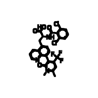 Cc1cc(C(F)(F)F)c(-c2ccc(C[C@H](NC(=O)c3c(Cl)cccc3Cl)C(=O)O)c3cccnc23)c(=O)n1C